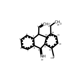 C=CC1c2ccccc2C(=N)c2c(F)ccc(CC)c21